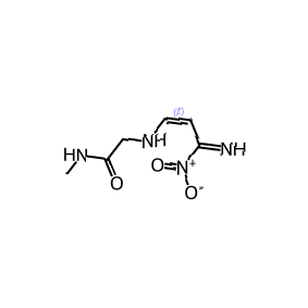 CNC(=O)CN/C=C\C(=N)[N+](=O)[O-]